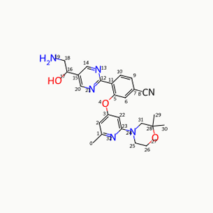 Cc1cc(Oc2cc(C#N)ccc2-c2ncc(C(O)CN)cn2)cc(N2CCOC(C)(C)C2)n1